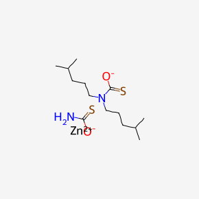 CC(C)CCCN(CCCC(C)C)C([O-])=S.NC([O-])=S.[Zn+2]